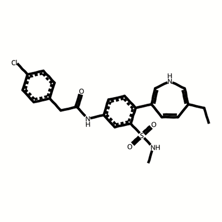 CCC1=CNC=C(c2ccc(NC(=O)Cc3ccc(Cl)cc3)cc2S(=O)(=O)NC)C=C1